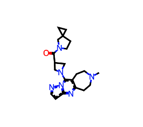 CN1CCc2nc3ccnn3c(N3CC(C(=O)N4CCC5(CC5)C4)C3)c2CC1